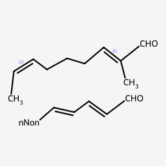 C/C=C\CCC/C=C(\C)C=O.CCCCCCCCCC=CC=CC=O